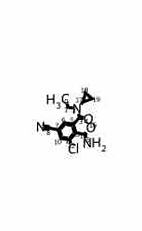 CCN(C(=O)c1cc(C#N)cc(Cl)c1C(N)=O)C1CC1